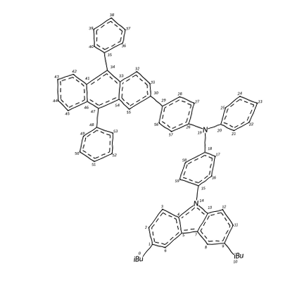 CCC(C)c1ccc2c(c1)c1cc(C(C)CC)ccc1n2-c1ccc(N(c2ccccc2)c2ccc(-c3ccc4c(-c5ccccc5)c5ccccc5c(-c5ccccc5)c4c3)cc2)cc1